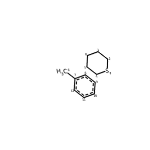 C1CCSCC1.Cc1ccccc1